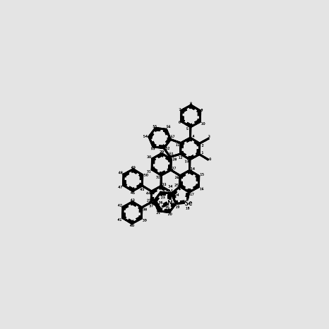 Cc1c(C)c(-c2ccccc2)c2c(c1-c1ccc3[se]c4ccccc4c3c1-c1ccccc1-c1nnnc(-c3ccccc3)c1-c1ccccc1)Cc1ccccc1-2